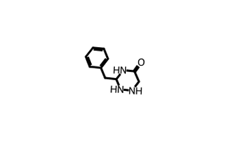 O=C1CNNC(Cc2ccccc2)N1